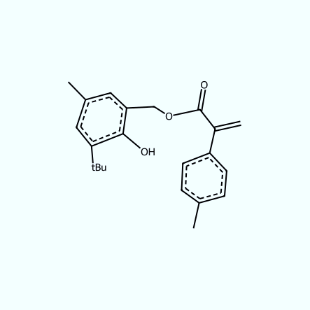 C=C(C(=O)OCc1cc(C)cc(C(C)(C)C)c1O)c1ccc(C)cc1